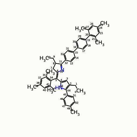 CCc1cc(/C(=C2/CC(CC)C(c3ccc(-c4ccc(-c5c(C)cc(C)cc5C)cc4)cc3)=N2)c2c(C)cc(C)cc2C)[nH]c1-c1ccc(C)cc1